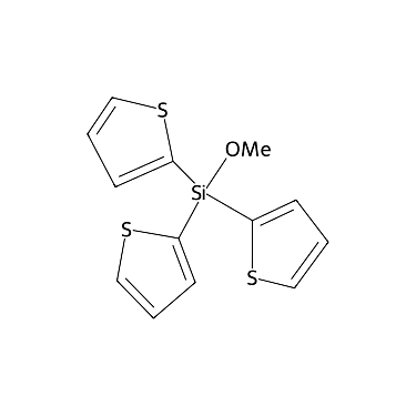 CO[Si](c1cccs1)(c1cccs1)c1cccs1